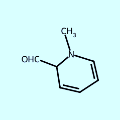 CN1C=CC=CC1C=O